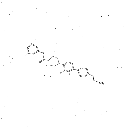 CCCc1ccc(-c2ccc(C3CCC(C(=O)Oc4cccc(F)c4)CC3)c(F)c2F)cc1